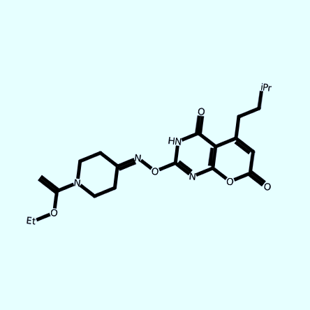 C=C(OCC)N1CCC(=NOc2nc3oc(=O)cc(CCC(C)C)c3c(=O)[nH]2)CC1